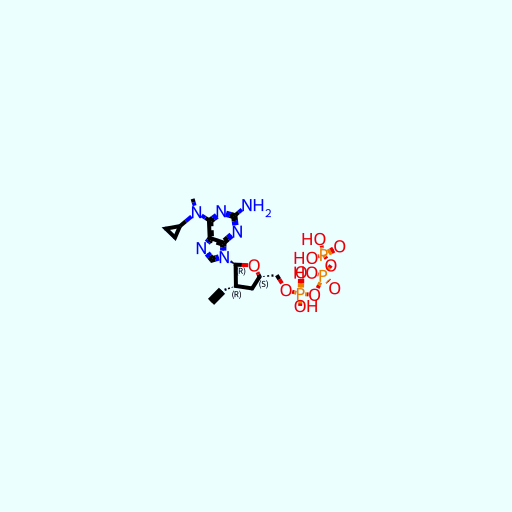 C#C[C@H]1C[C@@H](COP(=O)(O)OP(=O)(O)OP(=O)(O)O)O[C@H]1n1cnc2c(N(C)C3CC3)nc(N)nc21